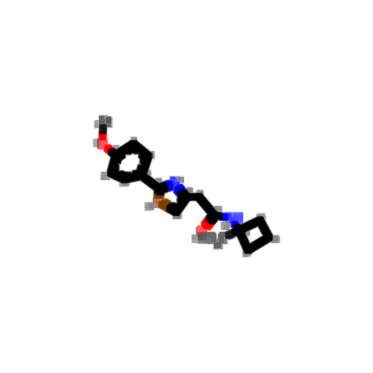 CCOc1ccc(-c2nc(CC(=O)NC3(C(=O)O)CCC3)cs2)cc1